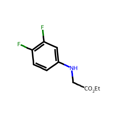 CCOC(=O)CNc1ccc(F)c(F)c1